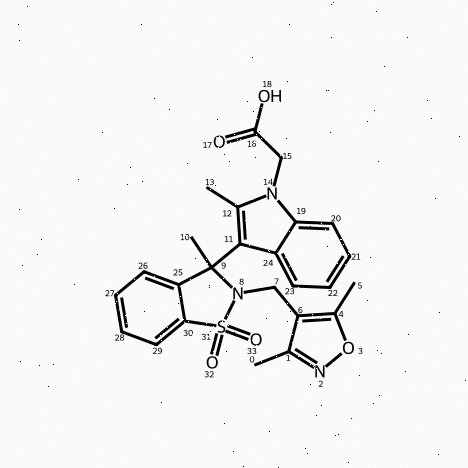 Cc1noc(C)c1CN1C(C)(c2c(C)n(CC(=O)O)c3ccccc23)c2ccccc2S1(=O)=O